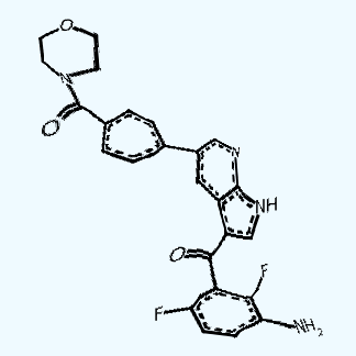 Nc1ccc(F)c(C(=O)c2c[nH]c3ncc(-c4ccc(C(=O)N5CCOCC5)cc4)cc23)c1F